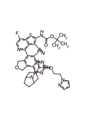 CC(C)(C)OC(=O)Nc1sc2c(F)cnc(-c3c4c(c5c(N6C7CCC6CN(C(=O)O)C7)nc(OCCn6cccn6)nc5c3F)COC4)c2c1C#N